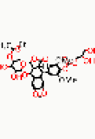 CCOC(C)OC1COC(OC2c3cc4c(cc3[C@@H](c3cc(OC)c(OC(=O)OCC(O)CO)c(OC)c3)[C@H]3C(=O)OCC23)OCO4)C(O)C1O